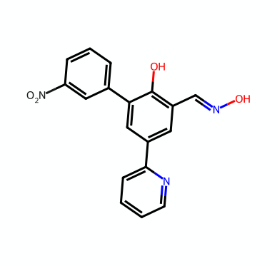 O=[N+]([O-])c1cccc(-c2cc(-c3ccccn3)cc(C=NO)c2O)c1